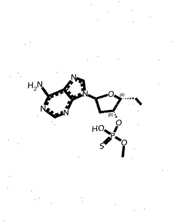 CC[C@H]1OC(n2cnc3c(N)ncnc32)C[C@H]1OP(O)(=S)OC